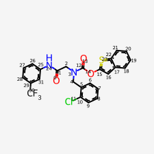 O=C(CN(Cc1ccccc1Cl)C(=O)Oc1cc2ccccc2s1)Nc1cccc(C(F)(F)F)c1